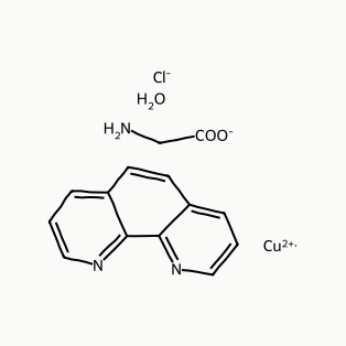 NCC(=O)[O-].O.[Cl-].[Cu+2].c1cnc2c(c1)ccc1cccnc12